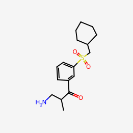 CC(CN)C(=O)c1cccc(S(=O)(=O)CC2CCCCC2)c1